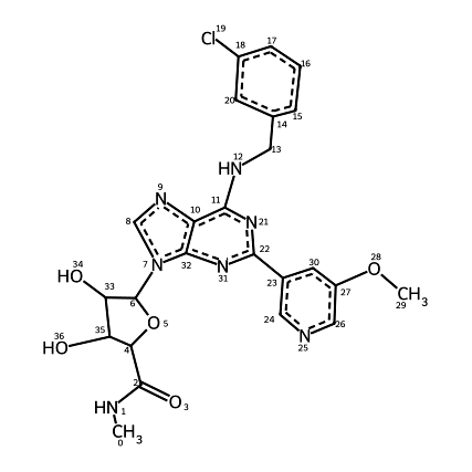 CNC(=O)C1OC(n2cnc3c(NCc4cccc(Cl)c4)nc(-c4cncc(OC)c4)nc32)C(O)C1O